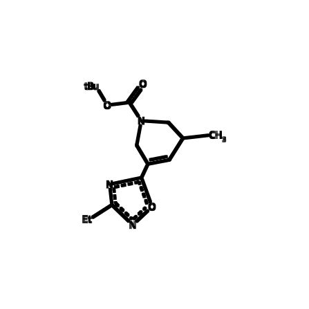 CCc1noc(C2=CC(C)CN(C(=O)OC(C)(C)C)C2)n1